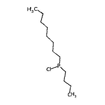 CCCCCCCCP(Cl)CCCC